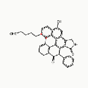 O=CCCCCCOC1=CCCC2=C1c1c(c3c(c4cc(O)c5ccccc5c14)CNC3=O)C(c1ccccc1)C2=O